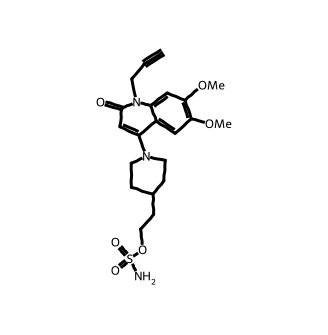 C#CCn1c(=O)cc(N2CCC(CCOS(N)(=O)=O)CC2)c2cc(OC)c(OC)cc21